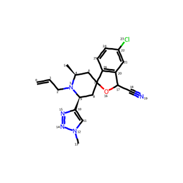 C=CCN1[C@@H](C)CC2(C[C@H]1c1cn(C)nn1)OC(C#N)c1cc(Cl)ccc12